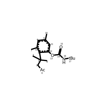 CC(=O)CC(C)(C)c1c(C)cc(C)cc1OC(=O)NC(C)(C)C